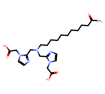 CC(=O)CCCCCCCCCCN(Cc1nccn1CC(=O)O)Cc1nccn1CC(=O)O